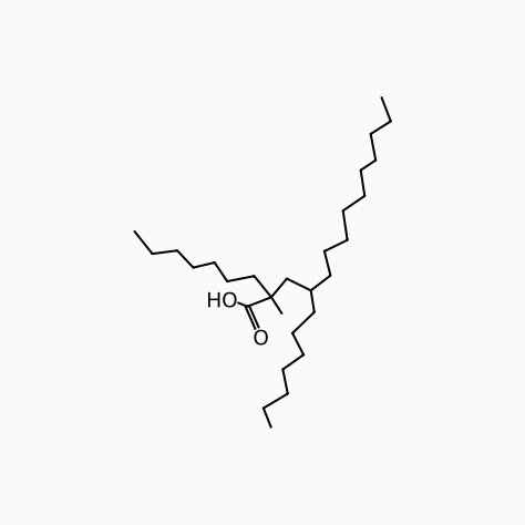 CCCCCCCCCCC(CCCCCCC)CC(C)(CCCCCCC)C(=O)O